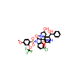 CNC(=O)[C@@H]1C[C@@H](O)C[N+]1(C)C1(c2cc(C(O)c3ccccc3)ccc2OC)C(=O)N(S(=O)(=O)c2ccc(OC)cc2OC(F)(F)F)c2ccc(Cl)cc21